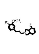 COc1cc(CCCN2CC3=CC=CC(F)C3C2)ccc1O